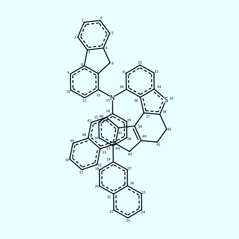 c1ccc2c(c1)Cc1c-2cccc1N(c1ccc(-c2ccc3ccccc3c2)cc1)c1cccc2sc3c(c12)C1=C(CC3)Cc2c1ccc1ccccc21